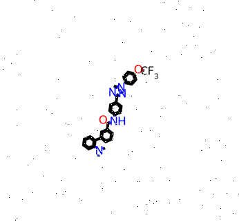 CN(C)c1ccccc1-c1cccc(C(=O)Nc2ccc(-c3ncn(-c4ccc(OC(F)(F)F)cc4)n3)cc2)c1